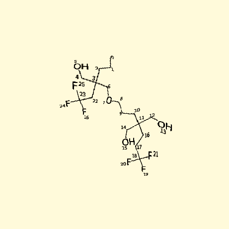 CCCC(CO)(COCCCC(CO)(CO)CCC(F)(F)F)CC(F)(F)F